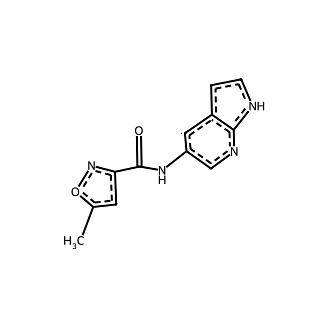 Cc1cc(C(=O)Nc2[c]c3cc[nH]c3nc2)no1